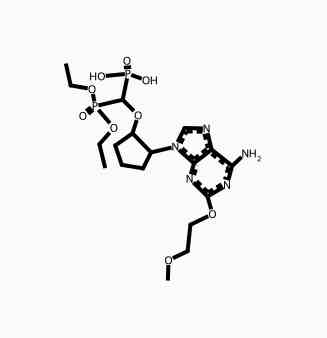 CCOP(=O)(OCC)C(OC1CCCC1n1cnc2c(N)nc(OCCOC)nc21)P(=O)(O)O